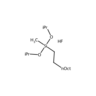 CCCCCCCCCC[Si](C)(OC(C)C)OC(C)C.F